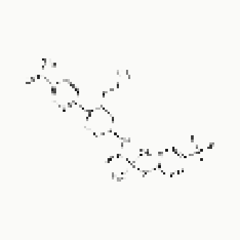 CCCC1CC(NC(=O)C(C)(C)Oc2ccc(C(F)(F)F)cc2)CCN1c1ccc(C(N)=O)cn1